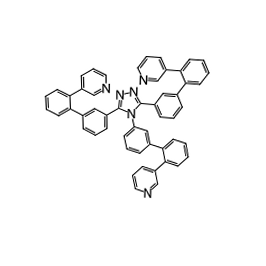 c1cncc(-c2ccccc2-c2cccc(-c3nnc(-c4cccc(-c5ccccc5-c5cccnc5)c4)n3-c3cccc(-c4ccccc4-c4cccnc4)c3)c2)c1